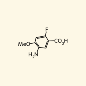 COc1cc(F)c(C(=O)O)cc1N